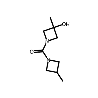 CC1CN(C(=O)N2CC(C)(O)C2)C1